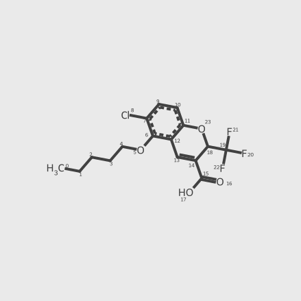 CCCCCOc1c(Cl)ccc2c1C=C(C(=O)O)C(C(F)(F)F)O2